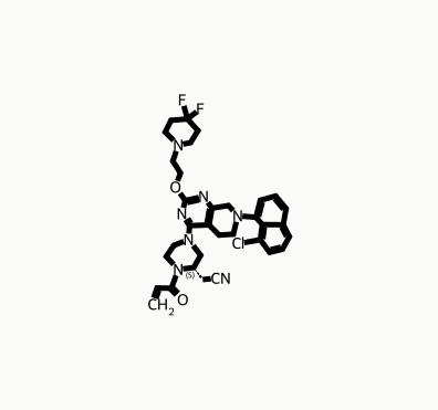 C=CC(=O)N1CCN(c2nc(OCCN3CCC(F)(F)CC3)nc3c2CCN(c2cccc4cccc(Cl)c24)C3)C[C@@H]1CC#N